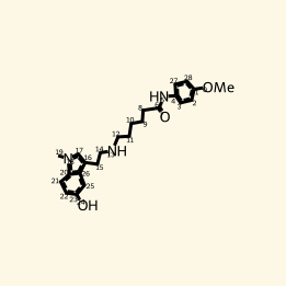 COc1ccc(NC(=O)CCCCCNCCc2cn(C)c3ccc(O)cc23)cc1